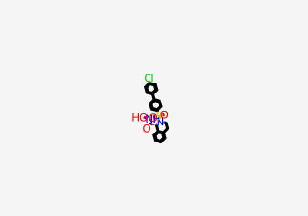 O=C(NO)[C@H]1c2ccccc2CCN1S(=O)(=O)c1ccc(-c2ccc(Cl)cc2)cc1